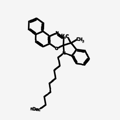 CCCCCCCCCCCCCCCCCCN1c2ccccc2C(C)(C)C12C=Nc1c(ccc3ccccc13)O2